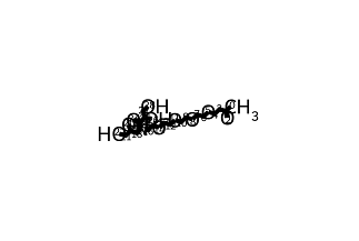 CC(=O)CCOCCOCCOCCOCCN(CC(O)CO)C(=O)C(O)CO